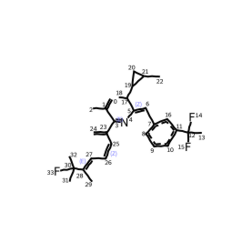 C=C(C)/C(=N\C(=C/c1cccc(C(C)(F)F)c1)C(C)C1CC1C)C(=C)/C=C\C=C(/C)C(C)(C)F